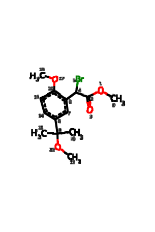 COC(=O)C(Br)c1cc(C(C)(C)OC)ccc1OC